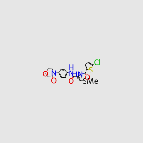 CSC[C@H](NC(=O)c1ccc(Cl)s1)C(=O)Nc1ccc(N2CCOCC2=O)cc1